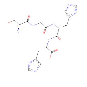 N[C@@H](CO)C(=O)NCC(=O)N[C@@H](Cc1c[nH]cn1)C(=O)N[C@@H](Cc1c[nH]cn1)C(=O)O